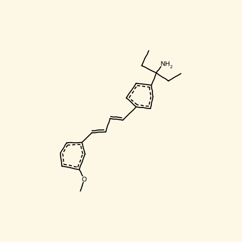 CCC(N)(CC)c1ccc(/C=C/C=C/c2cccc(OC)c2)cc1